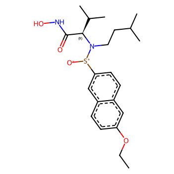 CCOc1ccc2cc([S+]([O-])N(CCC(C)C)[C@@H](C(=O)NO)C(C)C)ccc2c1